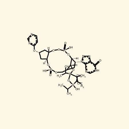 CC(C)[Si](O)(O[Si](O[C@@H]1C2CO[P@@](=O)(S)O[C@H]3C[C@H](Oc4ccncn4)C[C@@H]3CO[P@@](=O)(S)O[C@H]1[C@H](n1nnc3c(=O)[nH]cnc31)C2)(C(C)C)C(C)C)C(C)C